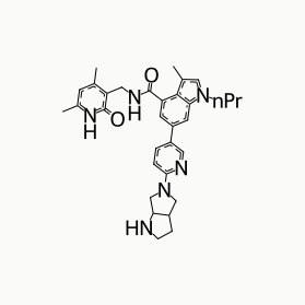 CCCn1cc(C)c2c(C(=O)NCc3c(C)cc(C)[nH]c3=O)cc(-c3ccc(N4CC5CCNC5C4)nc3)cc21